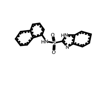 O=S(=O)(Nc1cccc2ccccc12)c1nc2ccccc2[nH]1